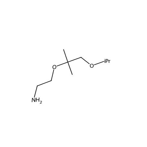 CC(C)OCC(C)(C)OCCN